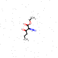 CCCC(=O)C(=[N+]=[N-])C(=O)OCC